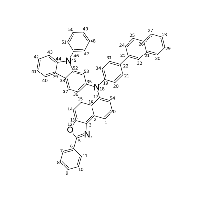 C1=CC2=c3nc(-c4ccccc4)oc3=CCC2C(N(c2ccc(-c3ccc4ccccc4c3)cc2)c2ccc3c4ccccc4n(-c4ccccc4)c3c2)=C1